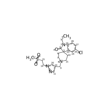 CCN1C(=O)C2(CCN(Cc3cnn(CCS(C)(=O)=O)c3)CC2)c2cc(Cl)ccc21